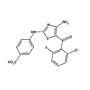 Nc1nc(Nc2ccc(C(=O)O)cc2)sc1C(=O)c1c(F)cccc1Cl